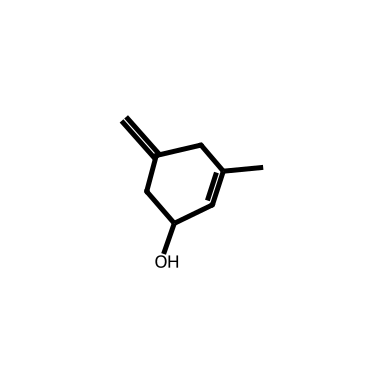 C=C1CC(C)=CC(O)C1